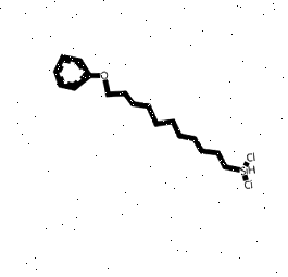 Cl[SiH](Cl)CCCCCCCCCCCOc1ccccc1